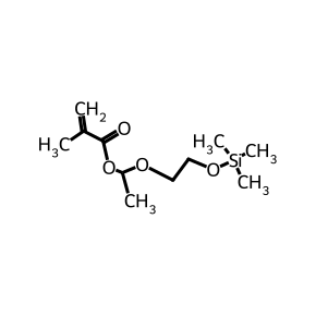 C=C(C)C(=O)OC(C)OCCO[Si](C)(C)C